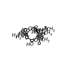 CO[C@@H](C)c1ncccc1-c1c2c3cc(ccc3n1C)-c1cc(O)cc(c1)C[C@H](NC(=O)[C@H](C1CCCC1)N(C)C(=O)CN(C)C(=O)[C@H]1N[C@H]1C1(OC)CC1)C(=O)N1CCC[C@H](N1)C(=O)OCC(C)(C)C2